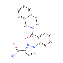 NC(=O)c1ccn(-c2ccccc2C(=O)N2CCc3ccccc3C2)n1